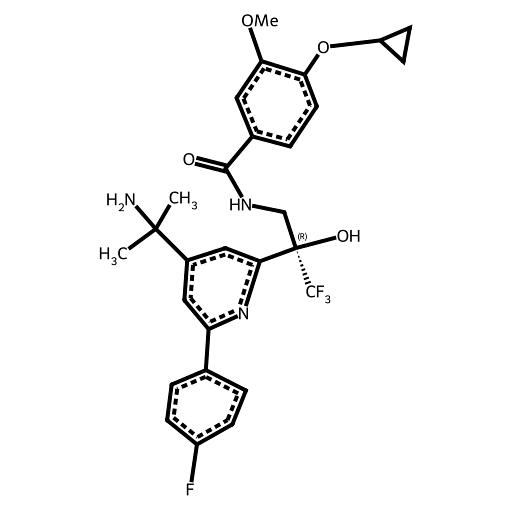 COc1cc(C(=O)NC[C@@](O)(c2cc(C(C)(C)N)cc(-c3ccc(F)cc3)n2)C(F)(F)F)ccc1OC1CC1